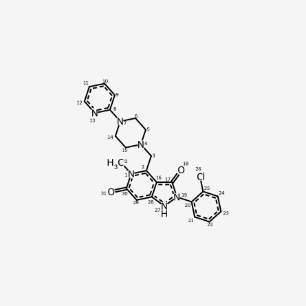 Cn1c(CN2CCN(c3ccccn3)CC2)c2c(=O)n(-c3ccccc3Cl)[nH]c2cc1=O